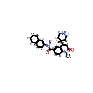 CCn1c(=O)cc(C2(C)CCNCC2)c2cc(C(=O)N(C)c3ccc4c(c3)CCCC4)ccc21